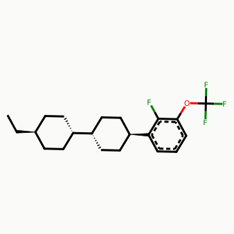 CC[C@H]1CC[C@H]([C@H]2CC[C@H](c3cccc(OC(F)(F)F)c3F)CC2)CC1